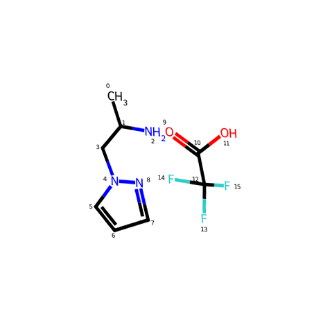 CC(N)Cn1cccn1.O=C(O)C(F)(F)F